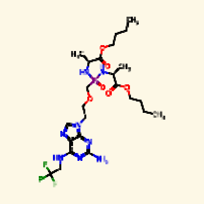 CCCCOC(=O)[C@H](C)NP(=O)(COCCn1cnc2c(NCC(F)(F)F)nc(N)nc21)N[C@@H](C)C(=O)OCCCC